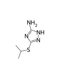 CC(C)Sc1n[nH]c(N)n1